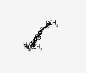 C=CC(=O)OCCCCOc1ccc(C(=O)Oc2ccc(B3OC(C)(C)C(C)(C)O3)cc2)cc1